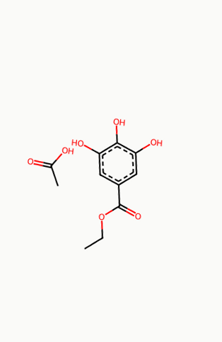 CC(=O)O.CCOC(=O)c1cc(O)c(O)c(O)c1